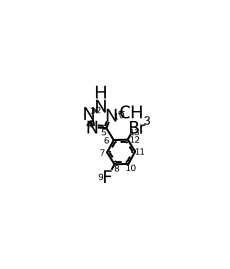 C[n+]1[nH]nnc1-c1cc(F)ccc1Br